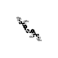 CC(C)(C)OC(=O)[C@@H](Cc1cccc(CN2CCN(Cc3cccc(C[C@H](C(=O)OC(C)(C)C)[C@H]4CCN(C(=O)OC(C)(C)C)C4)c3)CC2)c1)[C@@H]1CCN(C(=O)OC(C)(C)C)C1